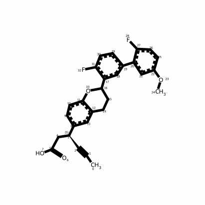 CC#C[C@@H](CC(=O)O)c1ccc2c(c1)CCC(c1cc(-c3cc(OC)ccc3F)ccc1F)O2